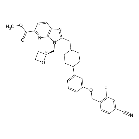 COC(=O)c1ccc2nc(CN3CCC(c4cccc(OCc5ccc(C#N)cc5F)c4)CC3)n(C[C@@H]3CCO3)c2n1